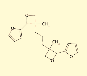 CC1(CCCC2(C)COC2c2ccco2)COC1c1ccco1